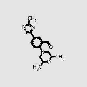 Cc1noc(-c2ccc(N3CC(C)OC(C)C3)c(C=O)c2)n1